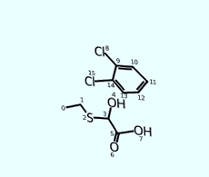 CCSC(O)C(=O)O.Clc1ccccc1Cl